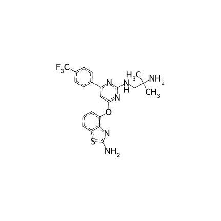 CC(C)(N)CNc1nc(Oc2cccc3sc(N)nc23)cc(-c2ccc(C(F)(F)F)cc2)n1